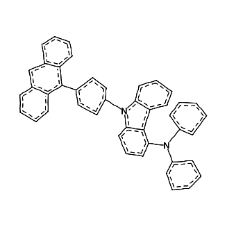 c1ccc(N(c2ccccc2)c2cccc3c2c2ccccc2n3-c2ccc(-c3c4ccccc4cc4ccccc34)cc2)cc1